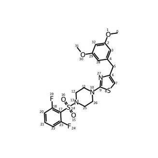 COc1cc(Cc2csc(N3CCN(S(=O)(=O)c4c(F)cccc4F)CC3)n2)cc(OC)c1